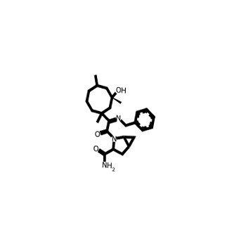 CC1CCCC(C)(/C(=N/Cc2ccccc2)C(=O)N2C(C(N)=O)CC3CC32)C[C@@](C)(O)C1